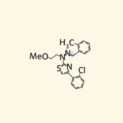 COCCN(/N=C/c1ccccc1C)c1nc(-c2ccccc2Cl)cs1